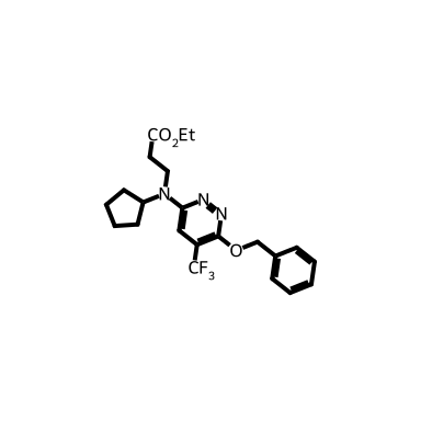 CCOC(=O)CCN(c1cc(C(F)(F)F)c(OCc2ccccc2)nn1)C1CCCC1